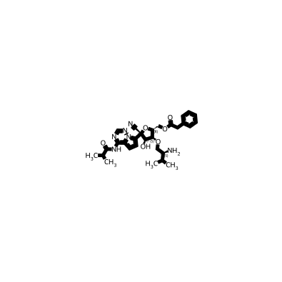 CC(C)C(=O)Nc1ncnn2c([C@]3(C#N)O[C@H](COC(=O)Cc4ccccc4)[C@@H](OC[C@@H](N)C(C)C)[C@H]3O)ccc12